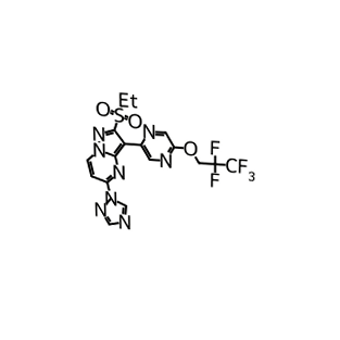 CCS(=O)(=O)c1nn2ccc(-n3cncn3)nc2c1-c1cnc(OCC(F)(F)C(F)(F)F)cn1